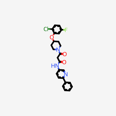 O=C(CC(=O)N1CCC(Oc2cc(F)ccc2Cl)CC1)Nc1ccc(-c2ccccc2)nc1